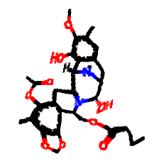 CCCC(=O)OC[C@H]1c2c(c(OC(C)=O)c(C)c3c2OCO3)CC2[C@@H]3c4c(cc(C)c(OC)c4O)CC([C@H](O)N21)N3C